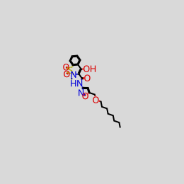 CCCCCCCCOCc1cc(NC(=O)C2=C(O)c3ccccc3S(=O)(=O)N2C)no1